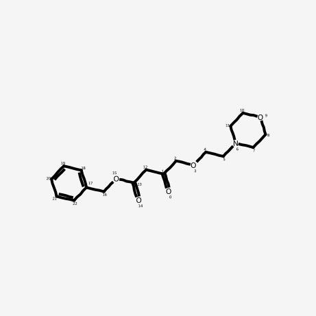 O=C(COCCN1CCOCC1)CC(=O)OCc1ccccc1